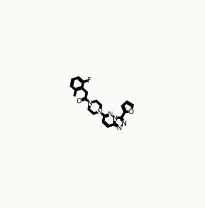 Cc1cccc(F)c1CC(=O)N1CCN(c2ccc3nnc(-c4ccco4)n3n2)CC1